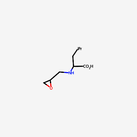 CC(C)CC(NCC1CO1)C(=O)O